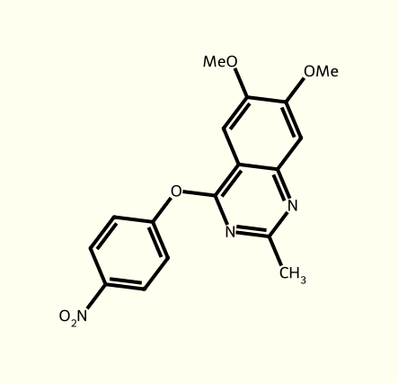 COc1cc2nc(C)nc(Oc3ccc([N+](=O)[O-])cc3)c2cc1OC